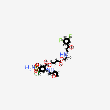 C[C@H](COC(=O)CCCOC(=O)c1cc(S(N)(=O)=O)c(Cl)cc1NCc1ccco1)NCCC(=O)c1cc(F)cc(F)c1